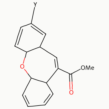 COC(=O)C1=CC2C=[C]([Y])C=CC2OC2C=CC=CC12